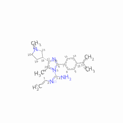 C=C/N=C(/N)n1c(-c2ccc(C(=C)C)cc2)nc(C2CCN(C)C2)c1C